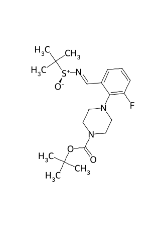 CC(C)(C)OC(=O)N1CCN(c2c(F)cccc2C=N[S@@+]([O-])C(C)(C)C)CC1